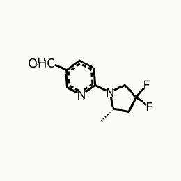 C[C@H]1CC(F)(F)CN1c1ccc(C=O)cn1